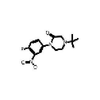 CC(C)(C)N1CCN(c2ccc(F)c([N+](=O)[O-])c2)C(=O)C1